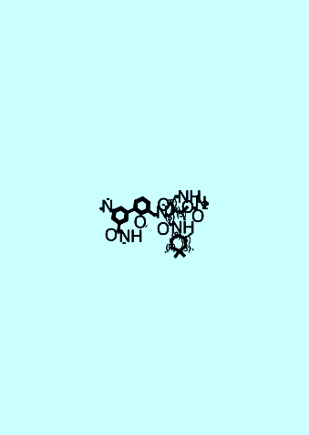 CNC(=O)c1cc(-c2cccc(CN3O[C@@H](CN)[C@@H]([C@H](C)OC(=O)N(C)C)[C@H]3C(=O)N[C@H]3C[C@@H](C)C(C)(C)[C@@H](C)[C@@H]3C)c2OC)cc(N(C)C)c1